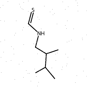 CC(C)C(C)CNC=S